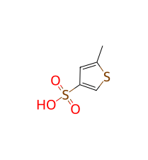 Cc1cc(S(=O)(=O)O)cs1